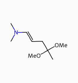 COC(C)(C/C=C/N(C)C)OC